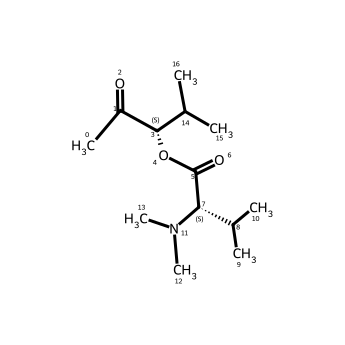 CC(=O)[C@@H](OC(=O)[C@H](C(C)C)N(C)C)C(C)C